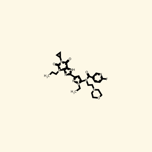 CCCn1c(=O)n(C2CC2)c(=O)c2[nH]c(-c3cc(N(CCN4CCOCC4)C(=O)c4ccc(F)nc4)n(CC)n3)nc21